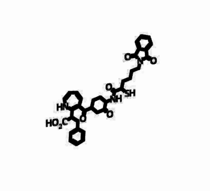 O=C(NC1CCC(C(=O)C2=C(C(Cc3ccccc3)C(=O)O)NC=CC=C2)CC1=O)C(S)CCCCN1C(=O)c2ccccc2C1=O